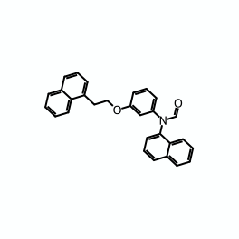 O=CN(c1cccc(OCCc2cccc3ccccc23)c1)c1cccc2ccccc12